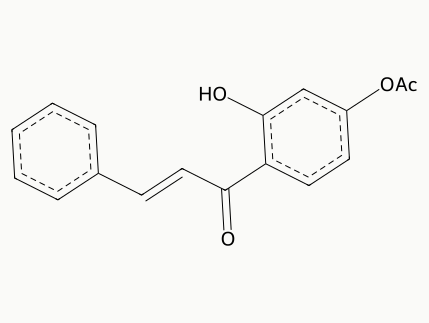 CC(=O)Oc1ccc(C(=O)C=Cc2ccccc2)c(O)c1